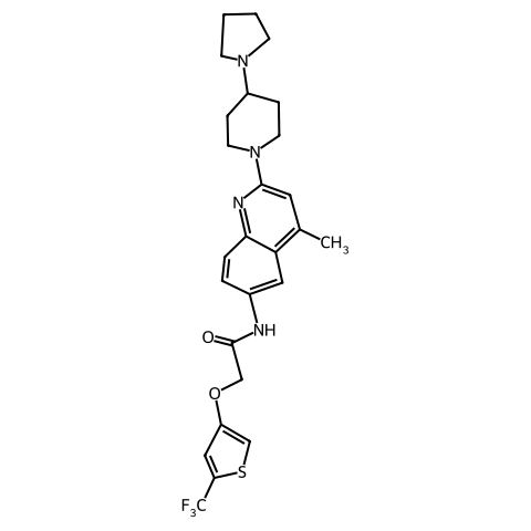 Cc1cc(N2CCC(N3CCCC3)CC2)nc2ccc(NC(=O)COc3csc(C(F)(F)F)c3)cc12